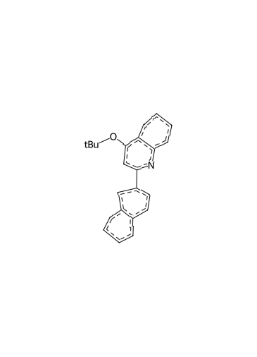 CC(C)(C)Oc1cc(-c2ccc3ccccc3c2)nc2ccccc12